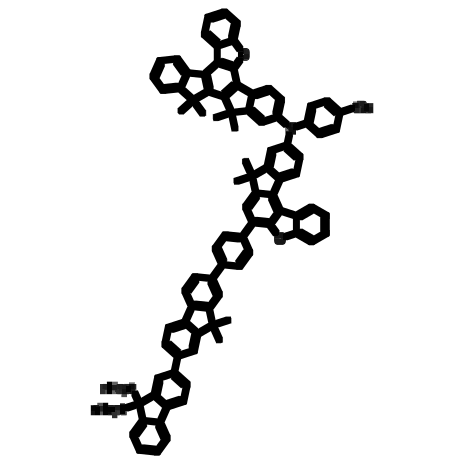 CCCCCCCC1(CCCCCCC)c2ccccc2-c2ccc(-c3ccc4c(c3)C(C)(C)c3cc(-c5ccc(-c6cc7c(c8c6oc6ccccc68)-c6ccc(N(c8ccc(C(C)(C)C)cc8)c8ccc9c(c8)C(C)(C)c8c%10c(c%11c(oc%12ccccc%12%11)c8-9)-c8ccccc8C%10(C)C)cc6C7(C)C)cc5)ccc3-4)cc21